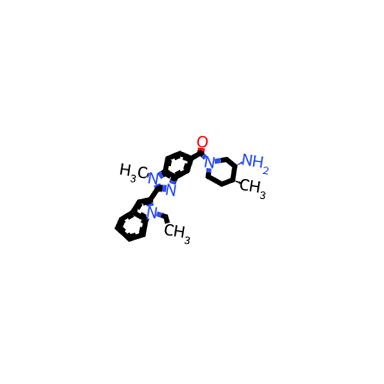 CCn1c(-c2nc3cc(C(=O)N4CC[C@@H](C)[C@@H](N)C4)ccc3n2C)cc2ccccc21